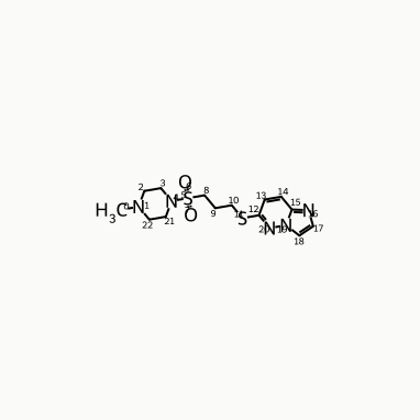 CN1CCN(S(=O)(=O)CCCSc2ccc3nccn3n2)CC1